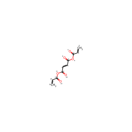 C=CC(=O)OC(=O)/C=C/C(=O)OC(=O)C=C